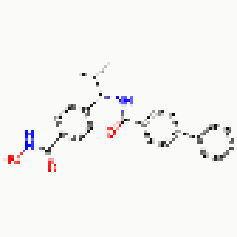 CC(C)C(NC(=O)c1ccc(-c2ccccc2)cc1)c1ccc(C(=O)NO)cc1